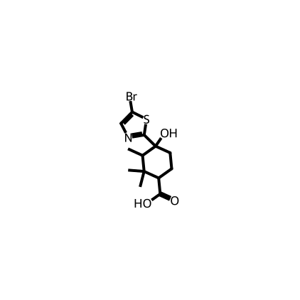 CC1C(O)(c2ncc(Br)s2)CCC(C(=O)O)C1(C)C